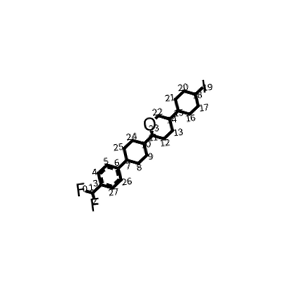 FC(F)c1ccc(C2CCC(C3CCC(C4CCC(I)CC4)CO3)CC2)cc1